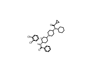 CN(C(=O)c1ccccc1)C1CCC(N2CCC(N(C(=O)C3CC3)C3CCCCC3)CC2)C[C@H]1c1ccc(Cl)c(Cl)c1